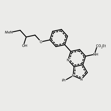 CCOC(=O)Nc1cc(-c2cccc(OCC(O)CNC)c2)nc2c1cnn2C(C)C